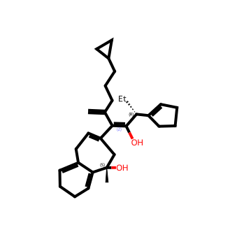 C=C(CCCC1CC1)/C(C1=CCC2=CCCC=C2[C@@](C)(O)C1)=C(/O)[C@H](CC)C1=CCCC1